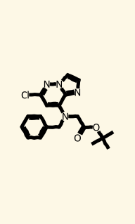 CC(C)(C)OC(=O)CN(Cc1ccccc1)c1cc(Cl)nn2ccnc12